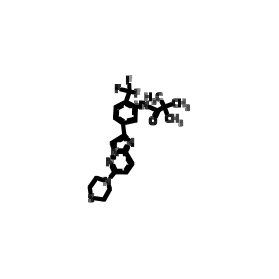 CC(C)(C)C(=O)Nc1cc(-c2cn3nc(N4CCSCC4)ccc3n2)ccc1C(F)(F)F